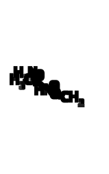 C=CCOC(=O)NCCCC[C@H](C)C(N)=O